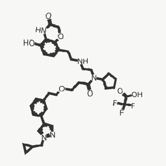 O=C(O)C(F)(F)F.O=C1COc2c(CCNCCN(C(=O)CCOCCc3cccc(-c4cnn(CC5CC5)c4)c3)C3CCCC3)ccc(O)c2N1